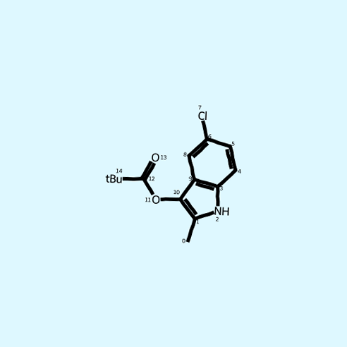 Cc1[nH]c2ccc(Cl)cc2c1OC(=O)C(C)(C)C